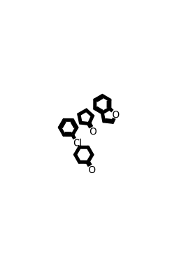 Clc1ccccc1.O=C1CCCC1.O=C1CCCCC1.c1ccc2occc2c1